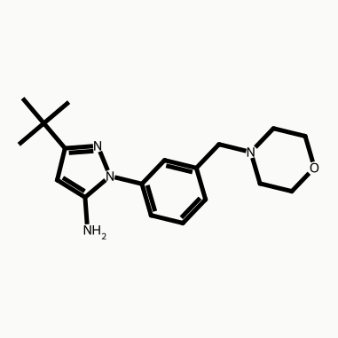 CC(C)(C)c1cc(N)n(-c2cccc(CN3CCOCC3)c2)n1